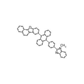 Cn1c(-c2ccc(-c3c4ccccc4c(-c4ccc5oc6c7ccccc7ccc6c5c4)c4ccccc34)cc2)nc2ccccc21